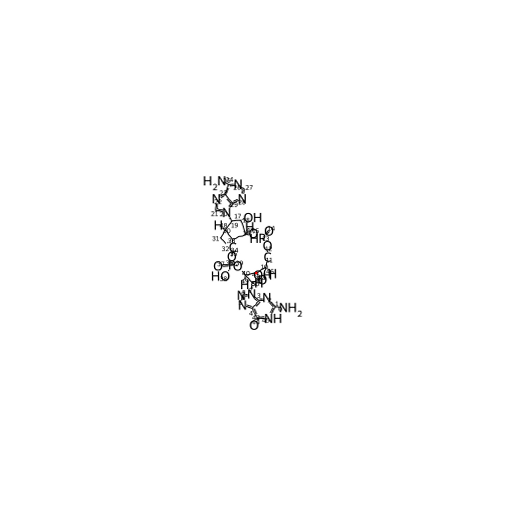 Nc1nc2c(nnn2[C@@H]2O[C@@H]3CO[PH](=O)O[C@H]4[C@@H](O)[C@H](n5cnc6c(N)ncnc65)[C@H]5CC[C@]54COP(=O)(O)O[C@@H]2[C@@H]3O)c(=O)[nH]1